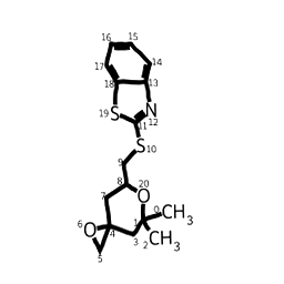 CC1(C)CC2(CO2)CC(CSc2nc3ccccc3s2)O1